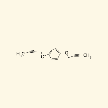 CC#CCOc1ccc(OCC#CC)cc1